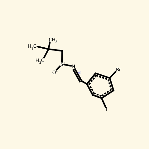 CC(C)(C)C[S+]([O-])/N=C/c1cc(Br)cc(I)c1